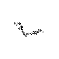 Cc1nc(N)sc1-c1ccnc(Nc2ccc(N3CCN(C(C)C(=O)C(C)N4CCN(c5ccc(Nc6nccc(-c7sc(N)nc7C)n6)cc5)CC4)CC3)cc2)n1